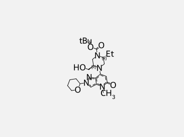 CC[C@@H]1CN(c2cc(=O)n(C)c3cn(C4CCCCO4)nc23)[C@@H](CO)CN1C(=O)OC(C)(C)C